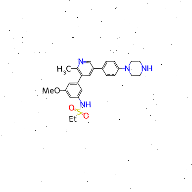 CCS(=O)(=O)Nc1cc(OC)cc(-c2cc(-c3ccc(N4CCNCC4)cc3)cnc2C)c1